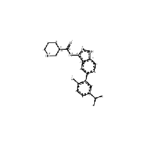 CC(C)c1ccc(Cl)c(-c2ccc3[nH]nc(NC(=O)[C@@H]4CCCNC4)c3c2)c1